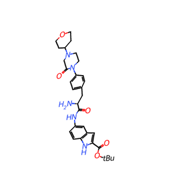 CC(C)(C)OC(=O)c1cc2cc(NC(=O)[C@@H](N)Cc3ccc(N4CCN(C5CCOCC5)CC4=O)cc3)ccc2[nH]1